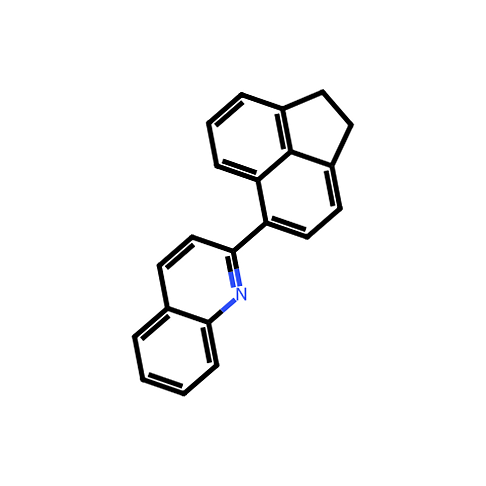 c1ccc2nc(-c3ccc4c5c(cccc35)CC4)ccc2c1